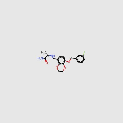 C[C@H](NCc1ccc(OCc2cccc(F)c2)c2c1OCCO2)C(N)=O